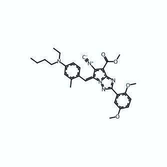 [C-]#[N+]c1c(C(=O)OC)c2nc(-c3cc(OC)ccc3OC)nn2/c1=C/c1ccc(N(CC)CCCC)cc1C